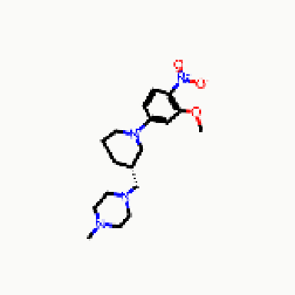 COc1cc(N2CCC[C@@H](CN3CCN(C)CC3)C2)ccc1[N+](=O)[O-]